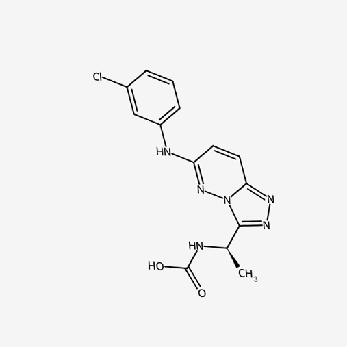 C[C@@H](NC(=O)O)c1nnc2ccc(Nc3cccc(Cl)c3)nn12